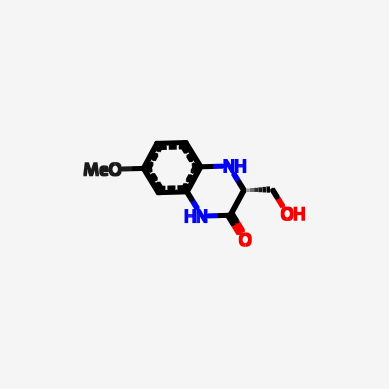 COc1ccc2c(c1)NC(=O)[C@@H](CO)N2